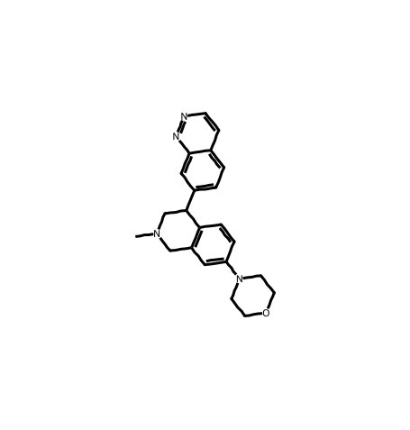 CN1Cc2cc(N3CCOCC3)ccc2C(c2ccc3ccnnc3c2)C1